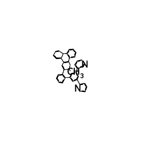 CC1CC2=C(C=C1c1ccccc1-c1cc(-c3cccnc3)cc(-c3ccccn3)c1)C1=C=CC=CC1c1ccccc12